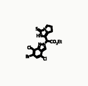 CCOC(=O)C(c1[nH]c(=S)n2c1CCC2)n1cc2c(Cl)cc(Br)c(Cl)c2n1